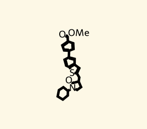 COC(=O)c1ccc(-c2ccc3sc(CC4CCN(C5CCCCC5)C4=O)cc3c2)cc1